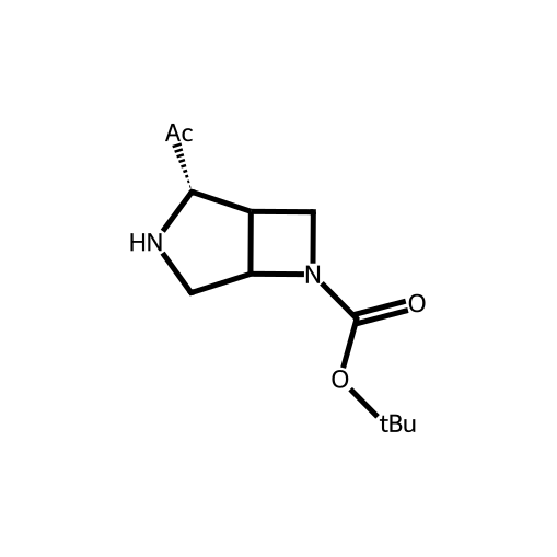 CC(=O)[C@H]1NCC2C1CN2C(=O)OC(C)(C)C